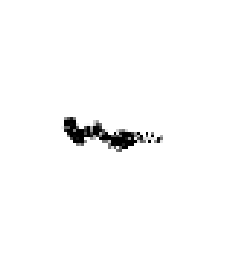 COc1cc(C)c(S(=O)(=O)N(C)CCOCC(=O)N(C)C[C@H]2CCC(CN3CCCC3)C2(C)C)c(C)c1